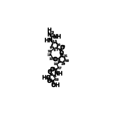 N=C(N)Nc1ccc2c(c1)CCCOc1c(CCC(=O)NC(CC(=O)O)C(=O)O)cccc1OC2=O